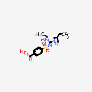 CCN/C(=N\S(=O)(=O)c1ccc(C(=O)O)cc1)N1CC(CC)C=N1